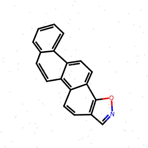 c1ccc2c(c1)ccc1c2ccc2c1ccc1cnoc12